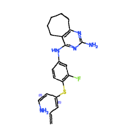 C=C/C=C(\C=C/N)Sc1ccc(Nc2nc(N)nc3c2CCCCC3)cc1F